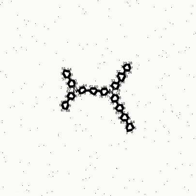 c1ccc(-c2ccc(-c3ccc(-c4ccc(N(c5ccc(-c6ccc(-c7ccccc7)cc6)cc5)c5ccc(-c6ccc(-c7ccc(N(c8ccc(-c9ccccc9)cc8)c8ccc(-c9ccccc9)cc8)cc7)cc6)cc5)cc4)cc3)cc2)cc1